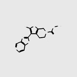 C[C@@H]1Cc2c(sc(N)c2-c2nc3cnccc3s2)CN1C(=O)OC(C)(C)C